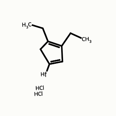 CCC1=C(CC)C[C]([Hf])=C1.Cl.Cl